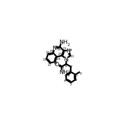 Cc1ccccc1CC(C(N)=O)n1cnc2c(N)nc3ccccc3c21